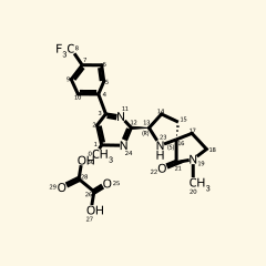 Cc1cc(-c2ccc(C(F)(F)F)cc2)nc([C@H]2CC[C@@]3(CCN(C)C3=O)N2)n1.O=C(O)C(=O)O